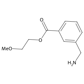 COCCOC(=O)c1cccc(CN)c1